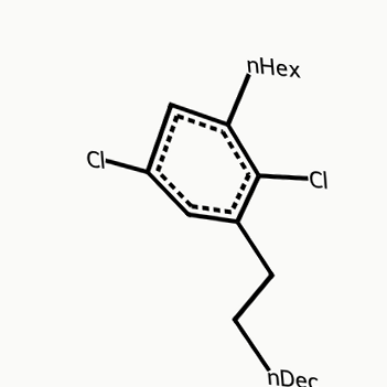 CCCCCCCCCCCCc1cc(Cl)cc(CCCCCC)c1Cl